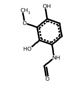 COc1c(O)ccc(NC=O)c1O